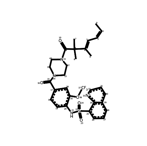 C/C=C\C=C(/C)C(C)(C)C(=O)N1CCN(C(=O)c2ccc(NS(=O)(=O)c3cccc4cccnc34)c(OC(F)(F)F)c2)CC1